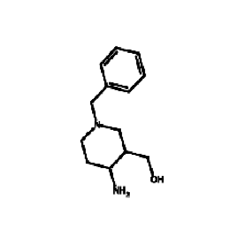 NC1CCN(Cc2ccccc2)CC1CO